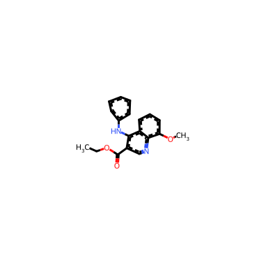 CCOC(=O)c1cnc2c(OC)cccc2c1Nc1ccccc1